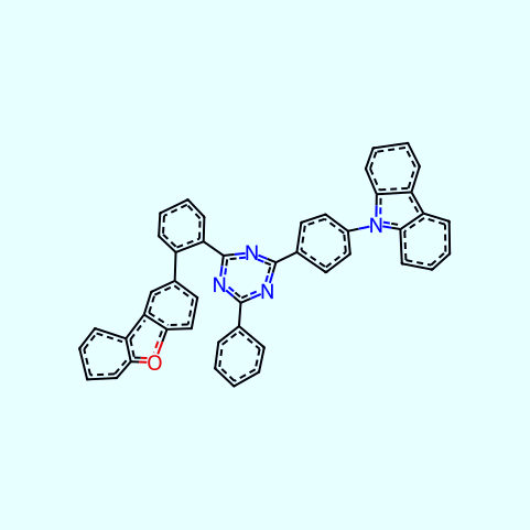 c1ccc(-c2nc(-c3ccc(-n4c5ccccc5c5ccccc54)cc3)nc(-c3ccccc3-c3ccc4oc5ccccc5c4c3)n2)cc1